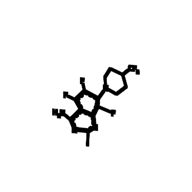 Cc1nc(N)c2c(F)c(F)c(N3CCC(C(F)(F)F)CC3)c(F)c2n1